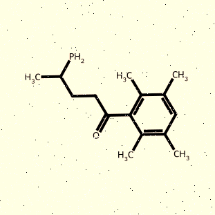 Cc1cc(C)c(C)c(C(=O)CCC(C)P)c1C